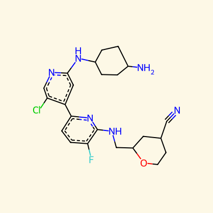 N#CC1CCOC(CNc2nc(-c3cc(NC4CCC(N)CC4)ncc3Cl)ccc2F)C1